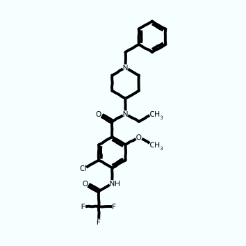 CCN(C(=O)c1cc(Cl)c(NC(=O)C(F)(F)F)cc1OC)C1CCN(Cc2ccccc2)CC1